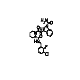 NC(=O)n1cc(NC(=O)N2CCCC[C@H]2C(=O)NCc2cccc(Cl)c2F)c2ccccc21